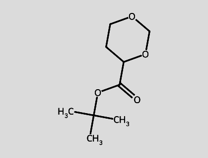 CC(C)(C)OC(=O)C1CCOCO1